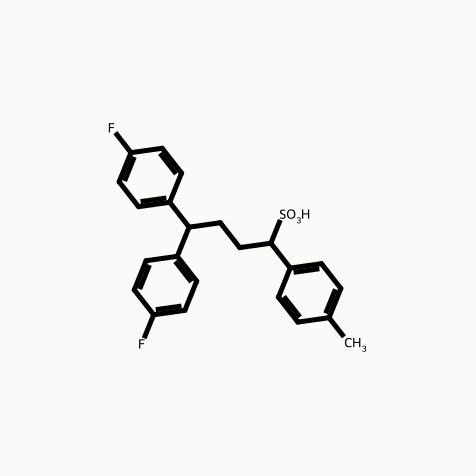 Cc1ccc(C(CCC(c2ccc(F)cc2)c2ccc(F)cc2)S(=O)(=O)O)cc1